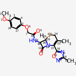 COc1ccc(OCC(=O)N[C@@H]2C(=O)N3C(c4nc(C)no4)=C(C)CS[C@H]23)cc1